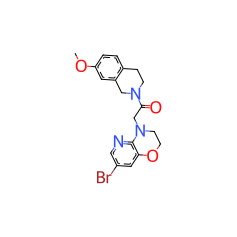 COc1ccc2c(c1)CN(C(=O)CN1CCOc3cc(Br)cnc31)CC2